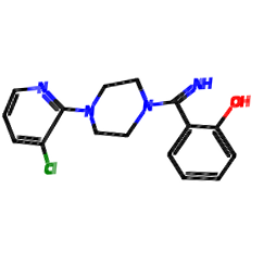 N=C(c1ccccc1O)N1CCN(c2ncccc2Cl)CC1